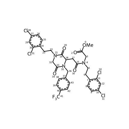 COC(=O)CN(CCc1ccc(Cl)cc1Cl)C(=O)CC1C(=O)N(CCc2ccc(Cl)cc2Cl)CC(=O)N1Cc1ccc(C(F)(F)F)cc1